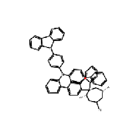 CCC1C[C@@H](C)C[C@@]2(c3ccccc3-c3cc(-c4ccccc4N(c4ccc(-c5ccccc5)cc4)c4ccc(-n5c6ccccc6c6ccccc65)cc4)ccc32)[C@@H](C)C1